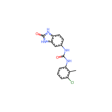 Cc1c(Cl)cccc1NC(=O)Nc1ccc2[nH]c(=O)[nH]c2c1